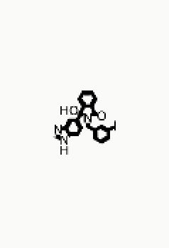 O=C1c2ccccc2C(O)(c2ccc3[nH][c]nc3c2)N1Cc1cccc(I)c1